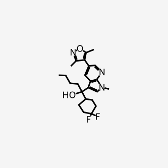 CCCCC(O)(c1cn(C)c2ncc(-c3c(C)noc3C)cc12)C1CCC(F)(F)CC1